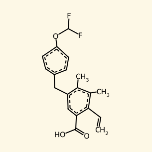 C=Cc1c(C(=O)O)cc(Cc2ccc(OC(F)F)cc2)c(C)c1C